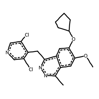 COc1cc2c(C)nnc(Cc3c(Cl)cncc3Cl)c2cc1OC1CCCC1